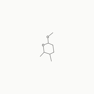 COC1CCC(C)C(C)O1